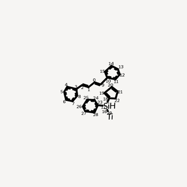 C(C=Cc1ccccc1)=Cc1ccccc1.C[SiH](C1=CC=CC1)c1ccccc1.[Ti]